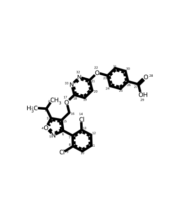 CC(C)c1onc(-c2c(Cl)cccc2Cl)c1COc1ccc(Oc2ccc(C(=O)O)cc2)nn1